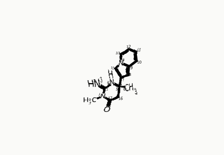 CN1C(=N)N[C@](C)(c2cc3ccccn3c2)CC1=O